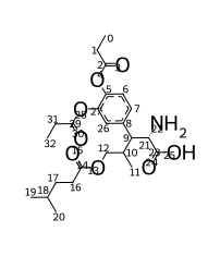 CCC(=O)Oc1ccc(C(C(C)COC(=O)CCC(C)C)[C@H](N)C(=O)O)cc1OC(=O)CC